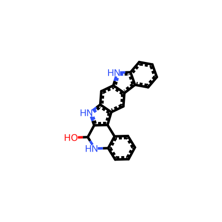 OC1Nc2ccccc2-c2c1[nH]c1cc3[nH]c4ccccc4c3cc21